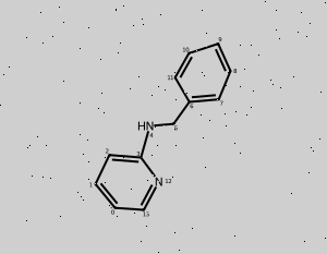 [c]1ccc(NCc2ccccc2)nc1